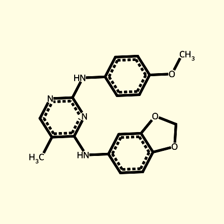 COc1ccc(Nc2ncc(C)c(Nc3ccc4c(c3)OCO4)n2)cc1